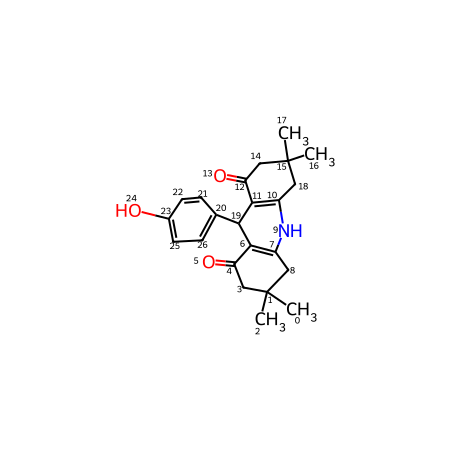 CC1(C)CC(=O)C2=C(C1)NC1=C(C(=O)CC(C)(C)C1)C2c1ccc(O)cc1